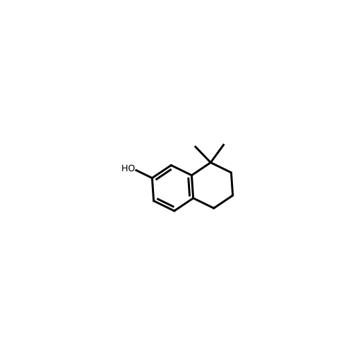 CC1(C)CCCc2ccc(O)cc21